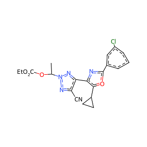 CCOC(=O)OC(C)n1nc(C#N)c(-c2nc(-c3cccc(Cl)c3)oc2C2CC2)n1